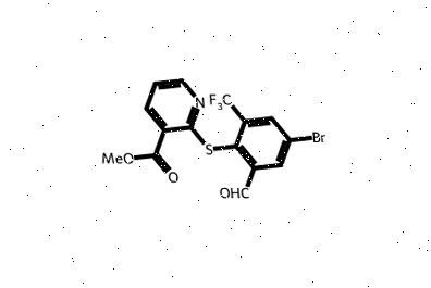 COC(=O)c1cccnc1Sc1c(C=O)cc(Br)cc1C(F)(F)F